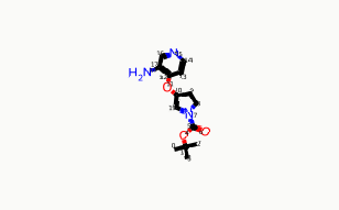 CC(C)(C)OC(=O)N1CCC(Oc2ccncc2N)C1